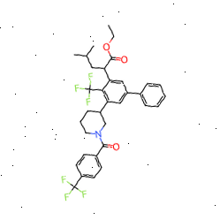 CCOC(=O)C(CC(C)C)c1cc(-c2ccccc2)cc(C2CCCN(C(=O)c3ccc(C(F)(F)F)cc3)C2)c1C(F)(F)F